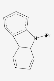 CC(C)N1c2ccccc2C2C=CC=CC21